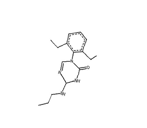 CCCNC1N=CN(c2c(CC)cccc2CC)C(=O)N1